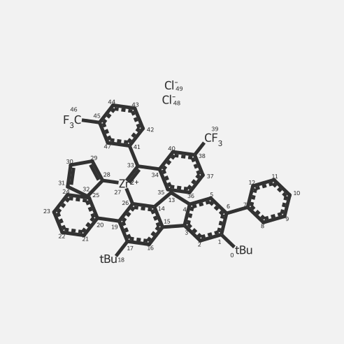 CC(C)(C)c1cc2c(cc1-c1ccccc1)Cc1c-2cc(C(C)(C)C)c(-c2ccccc2)[c]1[Zr+2]([C]1=CC=CC1)=[C](c1cccc(C(F)(F)F)c1)c1cccc(C(F)(F)F)c1.[Cl-].[Cl-]